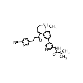 C[C@H]1NCC/C=C(/C(=O)CCc2ccc(C#N)nc2)c2cc(-c3cncc(NC(=O)N(C)C)c3)ccc21